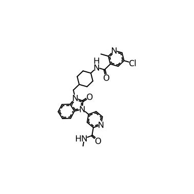 CNC(=O)c1cc(-n2c(=O)n(CC3CCC(NC(=O)c4cc(Cl)cnc4C)CC3)c3ccccc32)ccn1